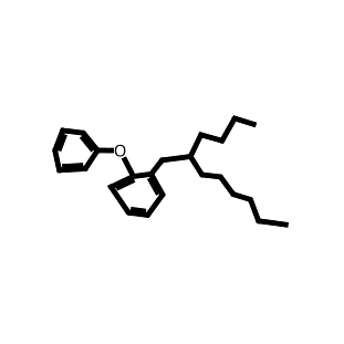 CCCCCCC(CCCC)Cc1ccccc1Oc1ccccc1